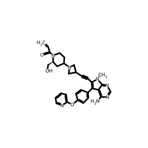 C=CC(=O)N1CCC(N2CC(C#Cc3c(-c4ccc(Oc5ccccn5)cc4)c4c(N)ncnc4n3C)C2)C[C@H]1CO